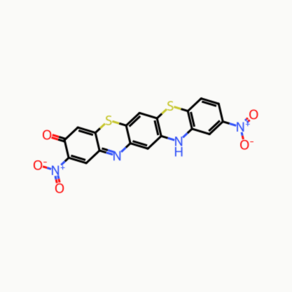 O=c1cc2sc3cc4c(cc3nc-2cc1[N+](=O)[O-])Nc1cc([N+](=O)[O-])ccc1S4